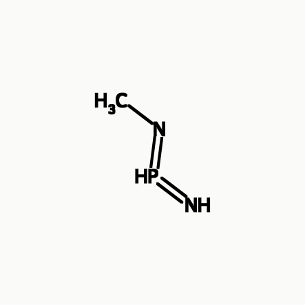 CN=[PH]=N